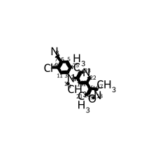 CCN(c1ccc(C#N)c(Cl)c1)c1cc(-c2c(C)noc2C)cnc1C